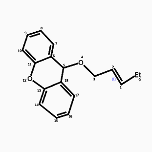 CC/C=C/COC1c2ccccc2Oc2ccccc21